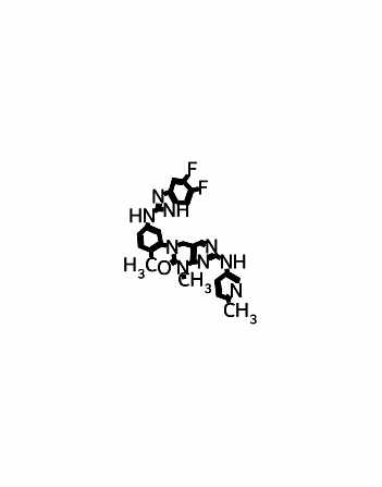 Cc1ccc(Nc2ncc3c(n2)N(C)C(=O)N(c2cc(Nc4nc5cc(F)c(F)cc5[nH]4)ccc2C)C3)cn1